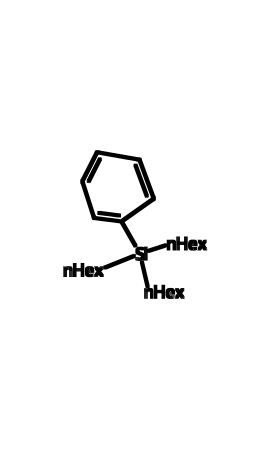 CCCCCC[Si](CCCCCC)(CCCCCC)c1ccccc1